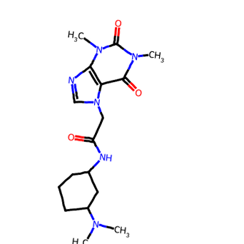 CN(C)C1CCCC(NC(=O)Cn2cnc3c2c(=O)n(C)c(=O)n3C)C1